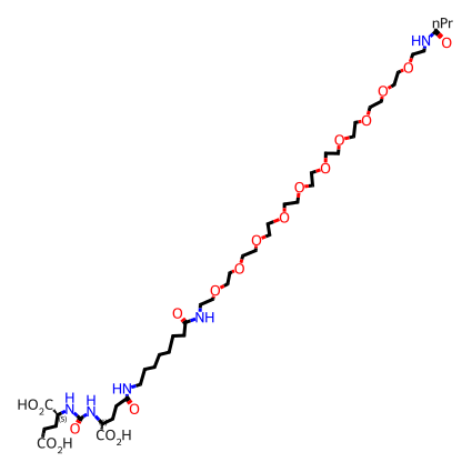 CCCC(=O)NCCOCCOCCOCCOCCOCCOCCOCCOCCOCCOCCNC(=O)CCCCCCCNC(=O)CC[C@H](NC(=O)N[C@@H](CCC(=O)O)C(=O)O)C(=O)O